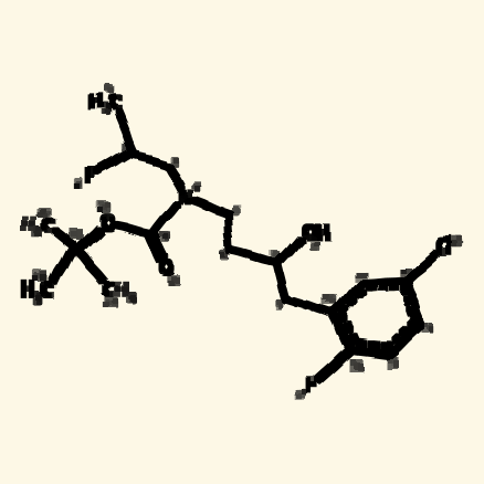 CC(F)CN(CCC(O)Cc1cc(Cl)ccc1F)C(=O)OC(C)(C)C